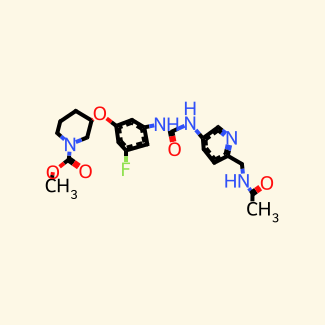 COC(=O)N1CCCC(Oc2cc(F)cc(NC(=O)Nc3ccc(CNC(C)=O)nc3)c2)C1